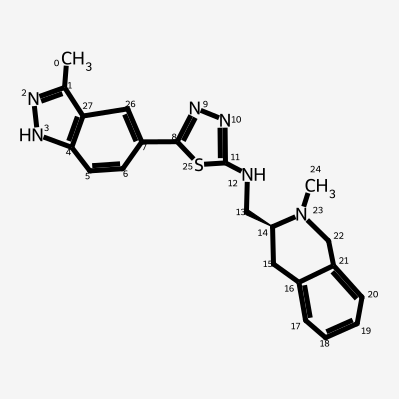 Cc1n[nH]c2ccc(-c3nnc(NC[C@@H]4Cc5ccccc5CN4C)s3)cc12